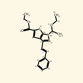 CCOC(=O)c1cc2c(/C=C/c3ccccc3)nn(C(C)OCC)c2s1